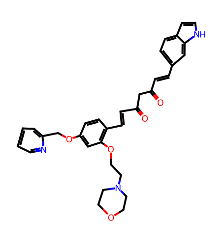 O=C(C=Cc1ccc2cc[nH]c2c1)CC(=O)C=Cc1ccc(OCc2ccccn2)cc1OCCN1CCOCC1